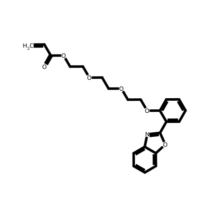 C=CC(=O)OCCOCCOCCOc1ccccc1-c1nc2ccccc2o1